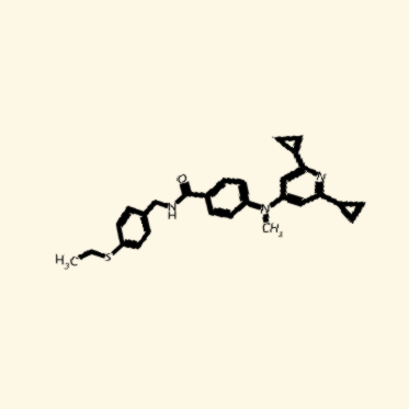 CCSc1ccc(CNC(=O)c2ccc(N(C)c3cc(C4CC4)nc(C4CC4)c3)cc2)cc1